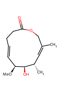 CO[C@H]1/C=C/CCC(=O)OC/C(C)=C\[C@H](C)[C@H]1O